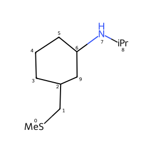 CSCC1CCCC(NC(C)C)C1